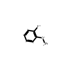 CC(C)Oc1[c]cccc1F